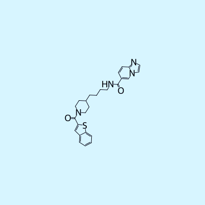 O=C(NCCCCC1CCN(C(=O)c2cc3ccccc3s2)CC1)c1ccc2nccn2c1